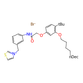 CCCCCCCCCCCCCCOc1cc(OCC(=O)Nc2cccc(C[n+]3ccsc3)c2)ccc1C(C)(C)C.[Br-]